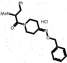 CNC(CC(C)C)C(=O)N1CCC(=NOCc2ccccc2)CC1.Cl